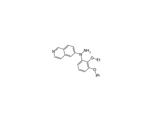 CCOc1c(OC(C)C)cccc1N(N)c1ccc2cnccc2c1